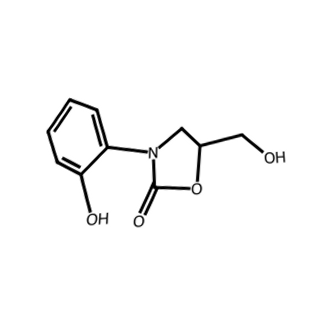 O=C1OC(CO)CN1c1ccccc1O